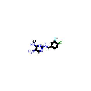 [CH2]CNc1nc(NCc2ccc(Cl)c(F)c2)ncc1N